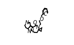 O=C1c2c3c(nn2CCC2(CC2)N1CCOCc1ccccc1)CCN=C3